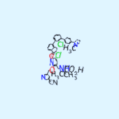 CN1CCCC1c1ccc(-c2cccc(-c3cccc4c3CC[C@@H]4Oc3nc(OCc4cncc(C#N)c4)c(CNC(C)(C)C(=O)O)cc3Cl)c2Cl)cc1